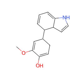 COC1=CC(C2C=CC=C3NC=CC32)CC=C1O